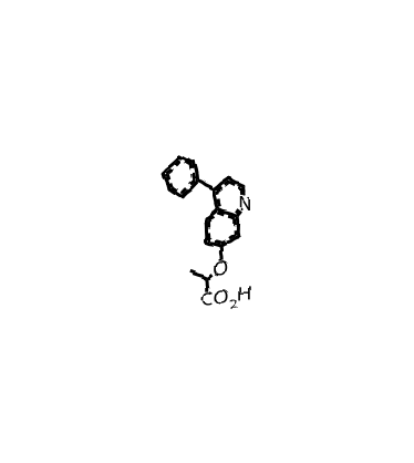 CC(Oc1ccc2c(-c3ccccc3)ccnc2c1)C(=O)O